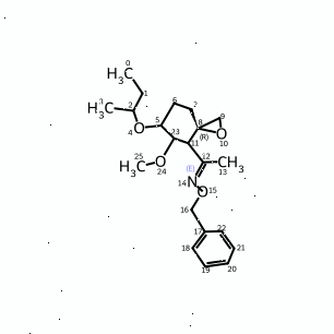 CCC(C)OC1CC[C@]2(CO2)C(/C(C)=N/OCc2ccccc2)C1OC